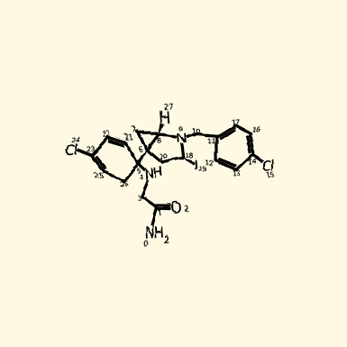 NC(=O)CNC1([C@@]23C[C@@H]2N(Cc2ccc(Cl)cc2)[C@@H](I)C3)C=CC(Cl)=CC1